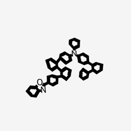 c1ccc(-c2ccccc2-c2ccc(N(c3ccccc3)c3ccc(-c4ccccc4-c4ccccc4-c4ccc(-c5nc6ccccc6o5)cc4)cc3)cc2)cc1